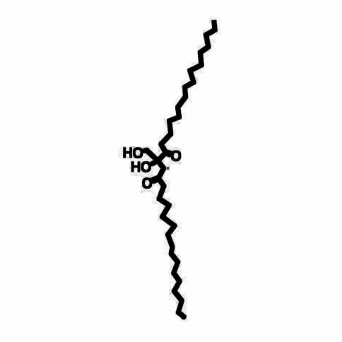 CCCCCCCCCCCCCCCC(=O)[CH]C(O)(CO)C(=O)CCCCCCCCCCCCCCC